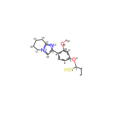 CCC(S)Oc1ccc(-c2cn3c(n2)CCCC3)c(OC)c1